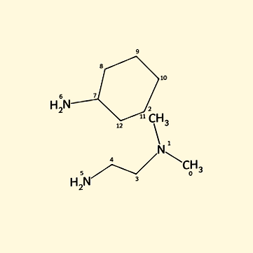 CN(C)CCN.NC1CCCCC1